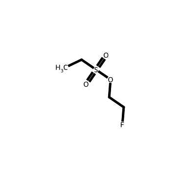 CCS(=O)(=O)OCCF